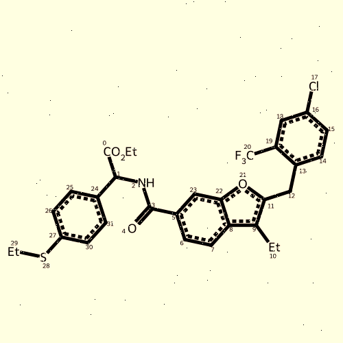 CCOC(=O)C(NC(=O)c1ccc2c(CC)c(Cc3ccc(Cl)cc3C(F)(F)F)oc2c1)c1ccc(SCC)cc1